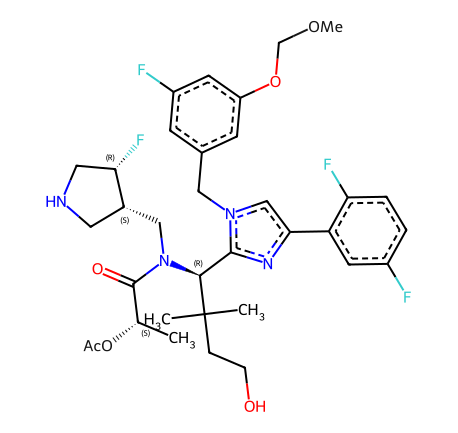 COCOc1cc(F)cc(Cn2cc(-c3cc(F)ccc3F)nc2[C@H](N(C[C@@H]2CNC[C@@H]2F)C(=O)[C@H](C)OC(C)=O)C(C)(C)CCO)c1